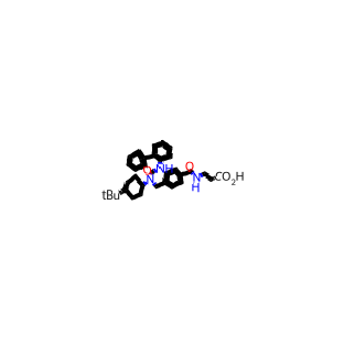 CC(C)(C)C1CCC(N(Cc2ccc(C(=O)NCCC(=O)O)cc2)C(=O)Nc2ccccc2-c2ccccc2)CC1